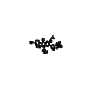 CC(C)COc1cc2c(=O)c3c4ccc(C#N)cc4[nH]c3n(C3CNC3)c2cc1-c1cncc(OS(=O)(=O)F)c1